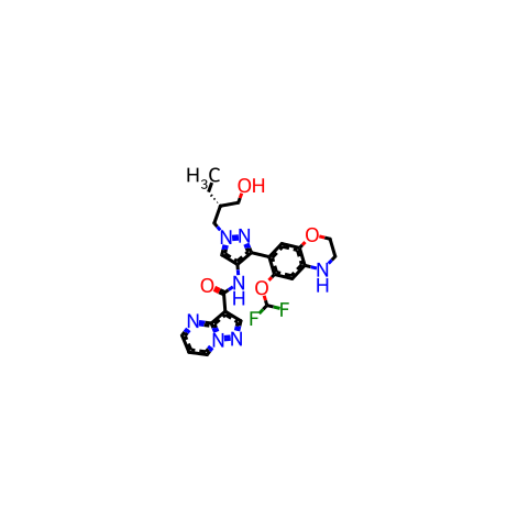 CC[C@H](CO)Cn1cc(NC(=O)c2cnn3cccnc23)c(-c2cc3c(cc2OC(F)F)NCCO3)n1